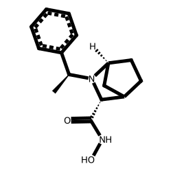 C[C@@H](c1ccccc1)N1[C@H]2CCC(C2)[C@@H]1C(=O)NO